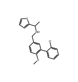 COc1ccc(CNC(C)c2cccs2)cc1-c1ccccc1Cl